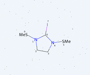 CSN1CCN(SC)C1I